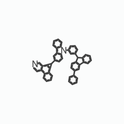 c1ccc(-c2ccc3c(c2)-c2ccccc2C3c2cccc(-n3c4ccccc4c4cc(C5c6c5c5cnccc5c5ccccc65)ccc43)c2)cc1